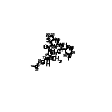 C[C@H](Nc1nc(C(=O)N2CC(C)(NCOCC3CC3)C2)c2sccc2n1)c1cncc(F)c1